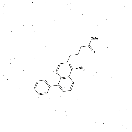 COC(=O)CCCC/C=C\c1c(C(N)=O)cccc1-c1ccccc1